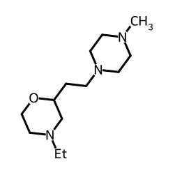 CCN1CCOC(CCN2CCN(C)CC2)C1